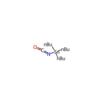 CCC[CH2][Sn]([CH2]CCC)([CH2]CCC)[N]=C=O